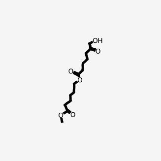 COC(=O)CCCCCOC(=O)CCCCC(=O)CO